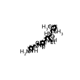 CCNc1nc(-c2ccc(NC(=O)NCc3ccc(N)nc3)c(F)c2)ccc1C(=O)NCCN1C(C)CCCC1C